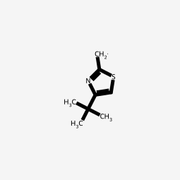 [CH2]c1nc(C(C)(C)C)cs1